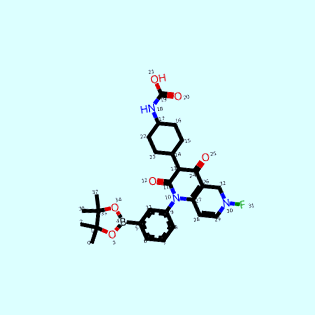 CC1(C)OB(c2cccc(N3C(=O)C(C4CCC(NC(=O)O)CC4)C(=O)C4=C3C=CN(F)C4)c2)OC1(C)C